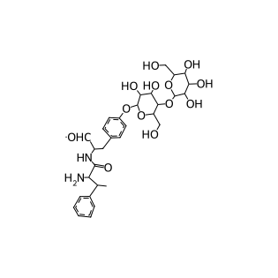 CC(c1ccccc1)C(N)C(=O)NC([C]=O)Cc1ccc(OC2OC(CO)C(OC3OC(CO)C(O)C(O)C3O)C(O)C2O)cc1